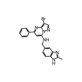 Cc1nc2cc(CNc3cc(-c4ccccc4)nc4c(Br)cnn34)ccc2[nH]1